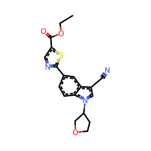 CCOC(=O)c1cnc(-c2ccc3c(c2)c(C#N)cn3C2CCOC2)s1